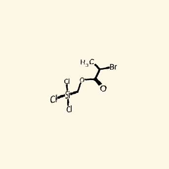 CC(Br)C(=O)OC[Si](Cl)(Cl)Cl